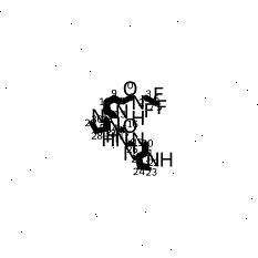 O=C(NCC(F)(F)F)c1ccc2c(n1)N(C(=O)Nc1ncc3[nH]ccc3n1)[C@H]1CCN2C1